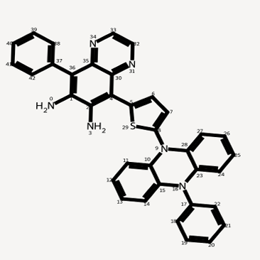 Nc1c(N)c(-c2ccc(N3c4ccccc4N(c4ccccc4)c4ccccc43)s2)c2nccnc2c1-c1ccccc1